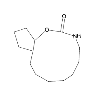 O=C1NCCCCCCCC2CCCC2O1